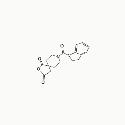 O=C1CC2(CCN(C(=O)N3CCc4ccccc43)CC2)C(=O)O1